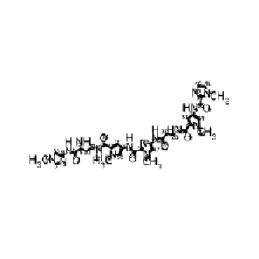 Cn1cnc(NC(=O)[C@H](N)CCNC(=O)c2cc(NC(=O)c3nc(NC(=O)CCNC(=O)c4cc(NC(=O)c5nccn5C)cn4C)cn3C)cn2C)c1